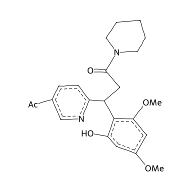 COc1cc(O)c(C(CC(=O)N2CCCCC2)c2ccc(C(C)=O)cn2)c(OC)c1